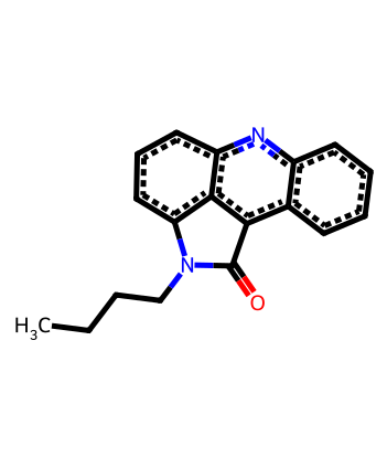 CCCCN1C(=O)c2c3ccccc3nc3cccc1c23